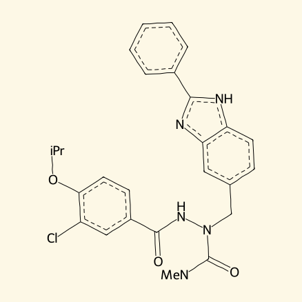 CNC(=O)N(Cc1ccc2[nH]c(-c3ccccc3)nc2c1)NC(=O)c1ccc(OC(C)C)c(Cl)c1